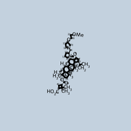 C=C(C)[C@@H]1CC[C@]2(C(=O)N3CCC[C@H]3CN3CC[C@@H](OCCOC)C3)CC[C@]3(C)[C@H](CC[C@@H]4[C@@]5(C)CC[C@H](OC(=O)[C@H]6C[C@@H](C(=O)O)C6(C)C)C(C)(C)[C@@H]5CC[C@]43C)[C@@H]12